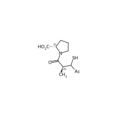 CC(=O)C(S)[C@@H](C)C(=O)N1CCC[C@H]1C(=O)O